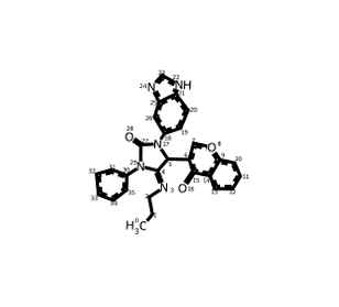 CCCN=C1C(c2coc3ccccc3c2=O)N(c2ccc3[nH]cnc3c2)C(=O)N1c1ccccc1